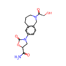 NC(=O)C1CN(c2ccc3c(c2)CCCN(C(=O)CO)C3)C(=O)O1